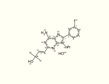 CCCn1c(-c2cccc(F)c2)nc2c(N)nc(/C=C/C(C)(C)O)nc21.Cl